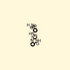 CN1c2ccccc2C(=O)Nc2cnc(Nc3cccc(S(N)(=O)=O)c3)nc21